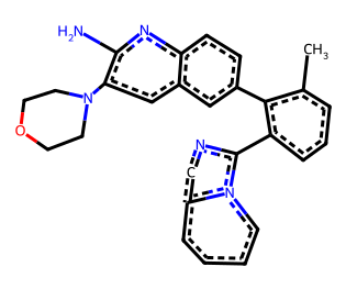 Cc1cccc(-c2ncc3ccccn23)c1-c1ccc2nc(N)c(N3CCOCC3)cc2c1